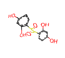 O=S(=O)(c1ccc(O)cc1O)c1ccc(O)cc1O